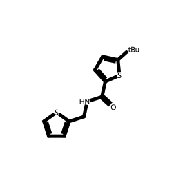 CC(C)(C)c1ccc(C(=O)NCc2cccs2)s1